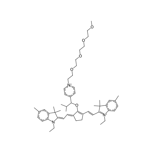 CCN1/C(=C/C=C2\CCC(/C=C/C3=[N+](CC)c4ccc(C)cc4C3(C)C)=C2OC(c2cc[n+](CCOCCOCCOCCOC)cc2)C(C)C)C(C)(C)c2cc(C)ccc21